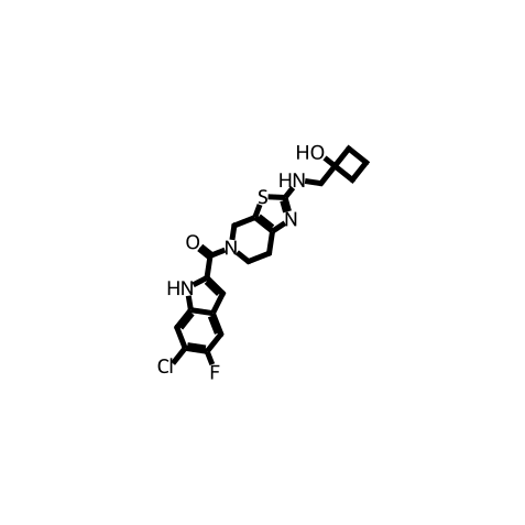 O=C(c1cc2cc(F)c(Cl)cc2[nH]1)N1CCc2nc(NCC3(O)CCC3)sc2C1